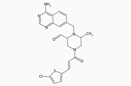 CC1CN(C(=O)C=Cc2ccc(Cl)s2)CC(C=O)N1Cc1ccc2c(N)ncnc2c1